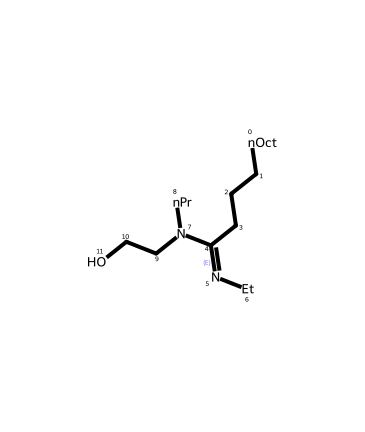 CCCCCCCCCCC/C(=N\CC)N(CCC)CCO